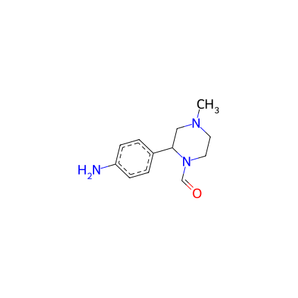 CN1CCN(C=O)C(c2ccc(N)cc2)C1